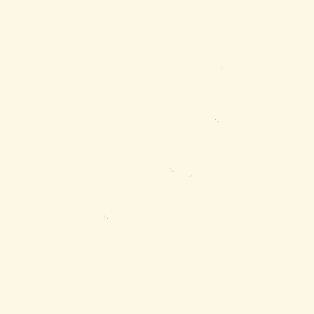 C=C(NC[C@H]1CN(c2ccc(N3CCOCC3=O)cc2)C(=O)O1)OC(C)(C)C